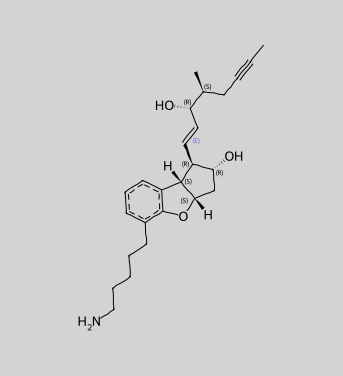 CC#CC[C@H](C)[C@@H](O)/C=C/[C@@H]1[C@H]2c3cccc(CCCCCN)c3O[C@H]2C[C@H]1O